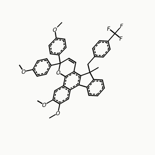 COc1ccc(C2(c3ccc(OC)cc3)C=Cc3c4c(c5cc(OC)c(OC)cc5c3O2)-c2ccccc2C4(C)Cc2ccc(C(F)(F)F)cc2)cc1